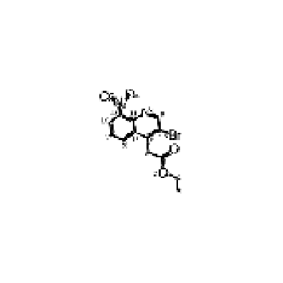 CCOC(=O)Cc1c(Br)cnc2c([N+](=O)[O-])cccc12